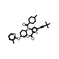 Cc1cccnc1OC1CCC(N(C(=O)C2CCC(C)CC2)c2cc(C#CC(C)(C)C)sc2C(=O)O)CC1